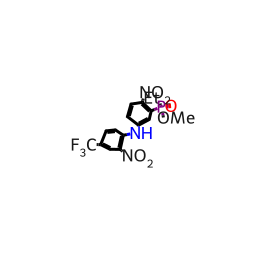 CCP(=O)(OC)c1cc(Nc2ccc(C(F)(F)F)cc2[N+](=O)[O-])ccc1[N+](=O)[O-]